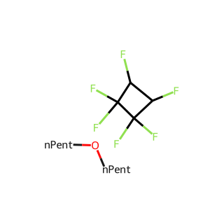 CCCCCOCCCCC.FC1C(F)C(F)(F)C1(F)F